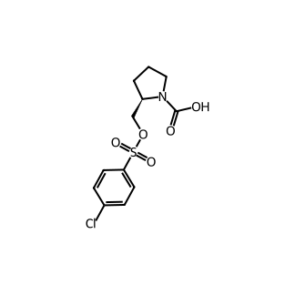 O=C(O)N1CCC[C@@H]1COS(=O)(=O)c1ccc(Cl)cc1